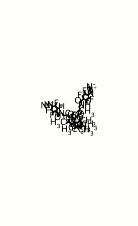 CCC(C)C(C)C1(C)O[Si](CCCNC(=O)c2c(F)c(F)c(N=[N+]=[N-])c(F)c2F)(OC)O[Si](CCCNC(=O)c2c(F)c(F)c(N=[N+]=[N-])c(F)c2F)(OC)OC(C)(C(C)C(C)CC)C1C